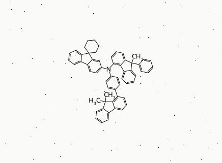 CC1(C)c2ccccc2-c2cccc(-c3ccc(N(c4ccc5c(c4)C4(CCCCC4)c4ccccc4-5)c4cccc5c4-c4ccccc4C5(C)c4ccccc4)cc3)c21